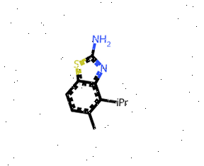 Cc1ccc2sc(N)nc2c1C(C)C